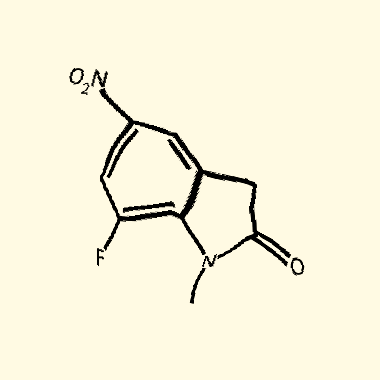 CN1C(=O)Cc2cc([N+](=O)[O-])cc(F)c21